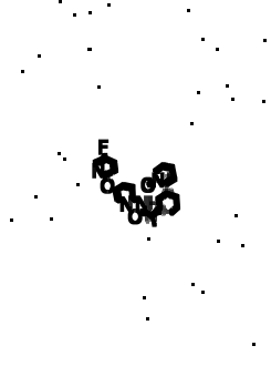 C[C@@H](C(=O)Nc1ccc(Oc2ccc(F)cn2)cn1)[C@H]1CCC[C@@H](c2cccc[n+]2[O-])C1